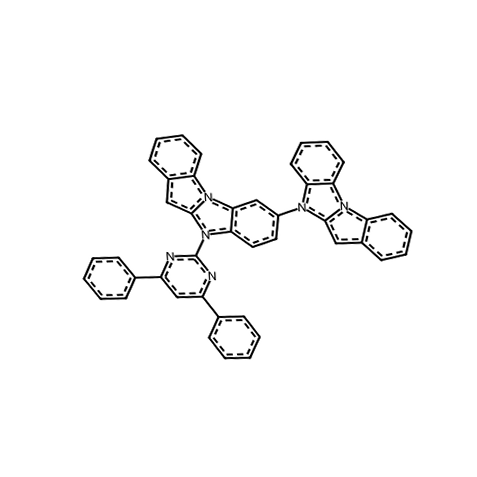 c1ccc(-c2cc(-c3ccccc3)nc(-n3c4ccc(-n5c6ccccc6n6c7ccccc7cc56)cc4n4c5ccccc5cc34)n2)cc1